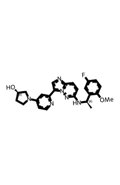 COc1ccc(F)cc1[C@@H](C)Nc1ccc2ncc(-c3cc(N4CC[C@@H](O)C4)ccn3)n2n1